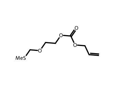 C=CCOC(=O)OCCOCSC